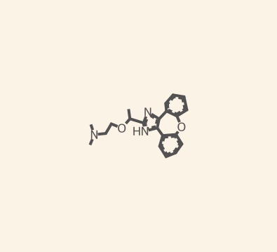 CC(OCCN(C)C)c1nc2c([nH]1)-c1ccccc1Oc1ccccc1-2